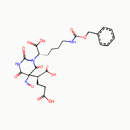 O=NC1([C@H](CCC(=O)O)C(=O)O)C(=O)NC(=O)N([C@@H](CCCCNC(=O)OCc2ccccc2)C(=O)O)C1=O